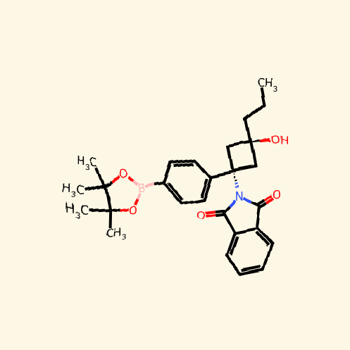 CCC[C@]1(O)C[C@](c2ccc(B3OC(C)(C)C(C)(C)O3)cc2)(N2C(=O)c3ccccc3C2=O)C1